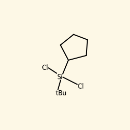 CC(C)(C)[Si](Cl)(Cl)C1CCCC1